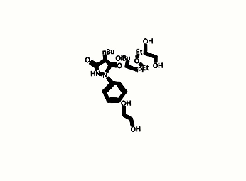 CC(C)COCC(C)C.CCCCC1C(=O)NN(c2ccccc2)C1=O.CCOCC.OCCO.OCCO